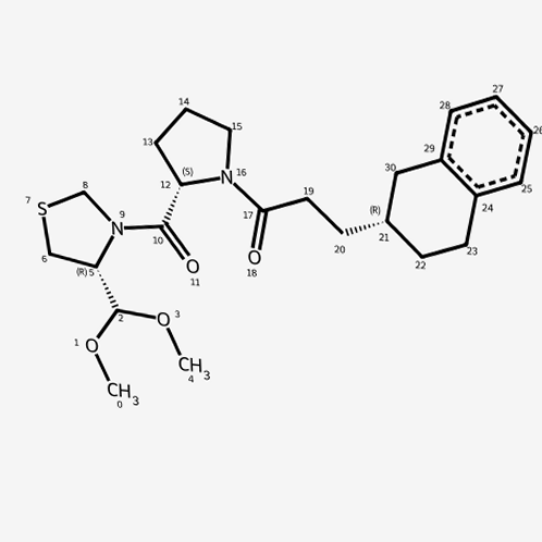 COC(OC)[C@@H]1CSCN1C(=O)[C@@H]1CCCN1C(=O)CC[C@H]1CCc2ccccc2C1